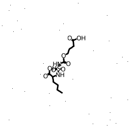 CCCCC(NS(=O)(=O)NC(=O)OCCCC(=O)O)C(=O)O